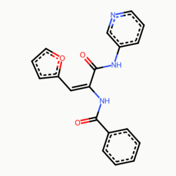 O=C(Nc1cccnc1)/C(=C\c1ccco1)NC(=O)c1ccccc1